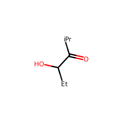 CCC(O)C(=O)C(C)C